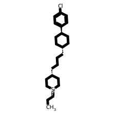 CCC[Si@H]1CC[C@H](CCCC[C@H]2CC[C@H](c3ccc(Cl)cc3)CC2)CC1